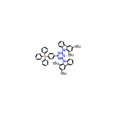 CC(C)(C)c1cc(C(C)(C)C)c2c(c1)c1ccccc1n2-c1nc(-c2ccc(S(c3ccccc3)(c3ccccc3)c3ccccc3)cc2)nc(-n2c3ccccc3c3cc(C(C)(C)C)cc(C(C)(C)C)c32)n1